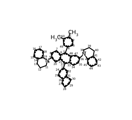 Cc1ccc(-c2c3ccc(N4CCCc5ccccc54)cc3c(-c3ccc4ccccc4c3)c3ccc(N4CCCc5ccccc54)cc23)cc1C